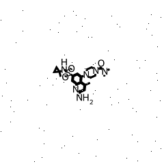 Cc1cc(N)nc2cc(S(=O)(=O)NC3(C)CC3)cc(N3CCN(C(=O)N(C)C)CC3)c12